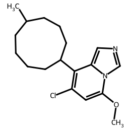 COc1cc(Cl)c(C2CCCCC(C)CCC2)c2cncn12